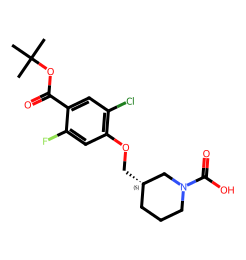 CC(C)(C)OC(=O)c1cc(Cl)c(OC[C@H]2CCCN(C(=O)O)C2)cc1F